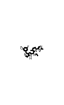 CC/N=C(/c1cc2c(-c3cc(F)cc(OC)c3)nccc2[nH]1)c1nc(-c2cnc(C)n2C)ccc1C